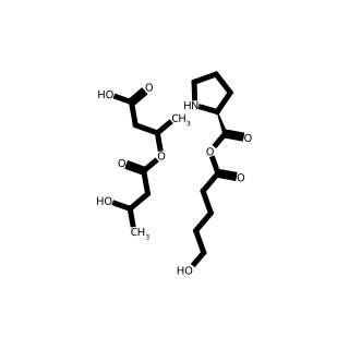 CC(O)CC(=O)OC(C)CC(=O)O.O=C(CCCCO)OC(=O)[C@@H]1CCCN1